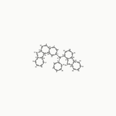 c1ccc(N(c2ccc3ccc4sc5ccccc5c4c3c2)c2cccc3c2sc2ccccc23)cc1